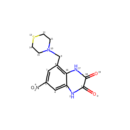 O=c1[nH]c2cc([N+](=O)[O-])cc(CN3CCSCC3)c2[nH]c1=O